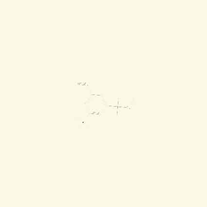 CC(C)(O)c1cc([N+](=O)[O-])cc(C(O)(O)N=O)c1